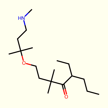 CCCC(CC)C(=O)C(C)(C)CCOC(C)(C)CCNC